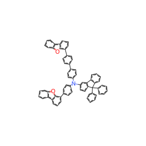 c1ccc(C2(c3ccccc3)c3ccccc3-c3cc(N(c4ccc(-c5ccc(-c6cccc7c6oc6ccccc67)cc5)cc4)c4ccc(-c5cccc6c5oc5ccccc56)cc4)ccc32)cc1